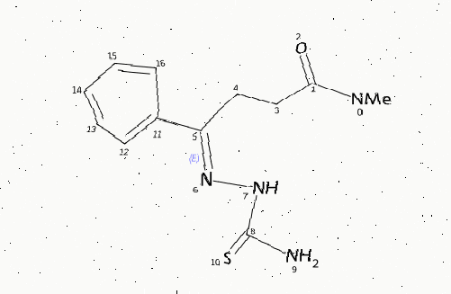 CNC(=O)CC/C(=N\NC(N)=S)c1ccccc1